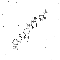 CN(c1nccc(Nc2cc(C3CC3)[nH]n2)n1)[C@H]1CC[C@H](NC(=O)Cc2cccc(C(F)(F)F)c2)CC1